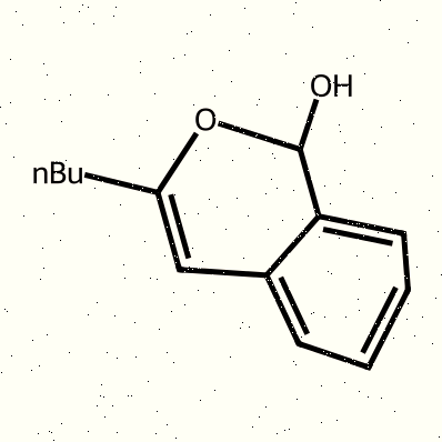 [CH2]CCCC1=Cc2ccccc2C(O)O1